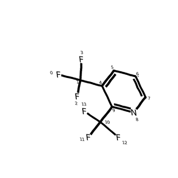 FC(F)(F)c1c[c]cnc1C(F)(F)F